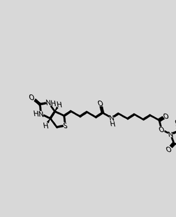 O=C(CCCCC1SC[C@@H]2NC(=O)N[C@H]12)NCCCCCC(=O)ON1C(=O)CCC1=O